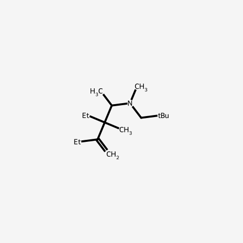 C=C(CC)C(C)(CC)C(C)N(C)CC(C)(C)C